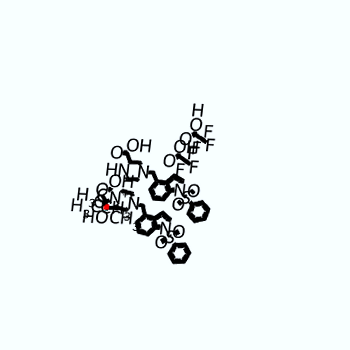 CC(C)(C)[N+]1(C(=O)O)CCN(Cc2cccc3c2ccn3S(=O)(=O)c2ccccc2)CC1(C)C(=O)O.O=C(O)C(F)(F)F.O=C(O)C(F)(F)F.O=C(O)C1CN(Cc2cccc3c2ccn3S(=O)(=O)c2ccccc2)CCN1